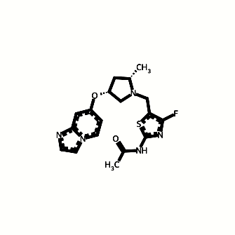 CC(=O)Nc1nc(F)c(CN2C[C@H](Oc3ccn4ccnc4c3)C[C@@H]2C)s1